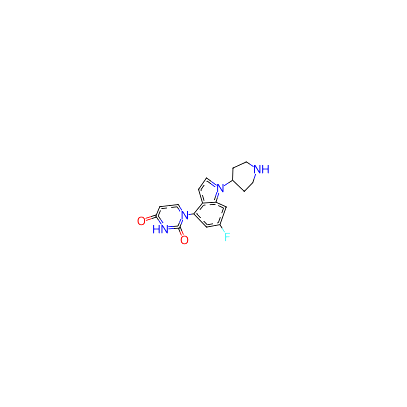 O=c1ccn(-c2cc(F)cc3c2ccn3C2CCNCC2)c(=O)[nH]1